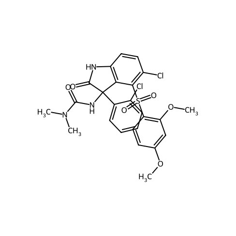 COc1ccc(S(=O)(=O)c2c(Cl)ccc3c2C(NC(=O)N(C)C)(c2ccccc2Cl)C(=O)N3)c(OC)c1